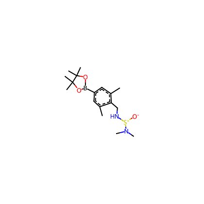 Cc1cc(B2OC(C)(C)C(C)(C)O2)cc(C)c1CN[S+]([O-])N(C)C